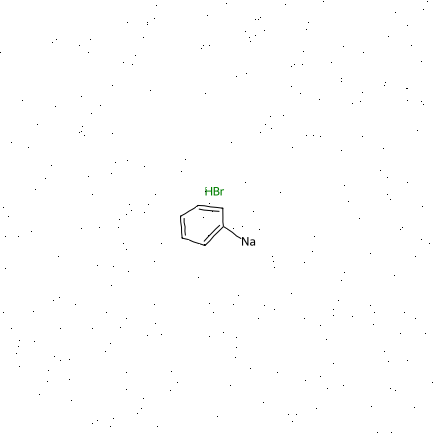 Br.[Na][c]1ccccc1